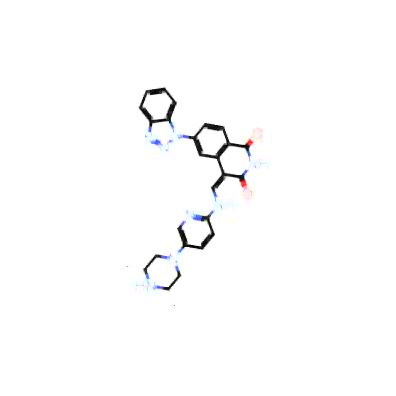 C[C@@H]1CN(c2ccc(N/C=C3\C(=O)NC(=O)c4ccc(-n5nnc6ccccc65)cc43)nc2)C[C@H](C)N1